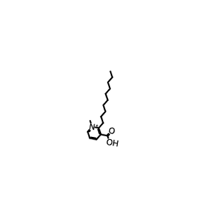 CCCCCCCCCCc1c(C(=O)O)ccc[n+]1C